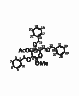 COC1=C(OCc2ccccc2)C(OC(C)=O)[C@H](OCc2ccccc2)C(COCc2ccccc2)O1